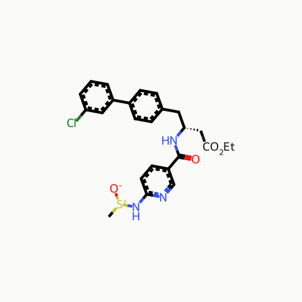 CCOC(=O)C[C@@H](Cc1ccc(-c2cccc(Cl)c2)cc1)NC(=O)c1ccc(N[S+](C)[O-])nc1